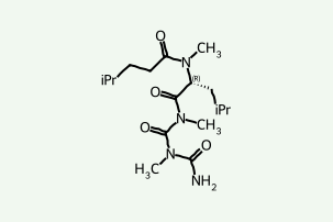 CC(C)CCC(=O)N(C)[C@H](CC(C)C)C(=O)N(C)C(=O)N(C)C(N)=O